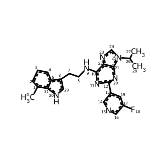 Cc1cccc2c(CCNc3nc(-c4cncc(F)c4)nc4c3ncn4C(C)C)c[nH]c12